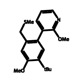 COc1cc(CSC)c(-c2cccnc2OC)cc1C(C)(C)C